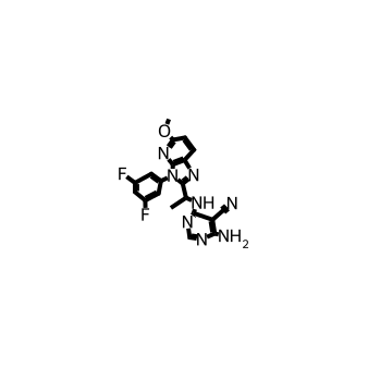 COc1ccc2nc(C(C)Nc3ncnc(N)c3C#N)n(-c3cc(F)cc(F)c3)c2n1